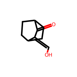 O=C1C(=CO)C2CCC1CC2